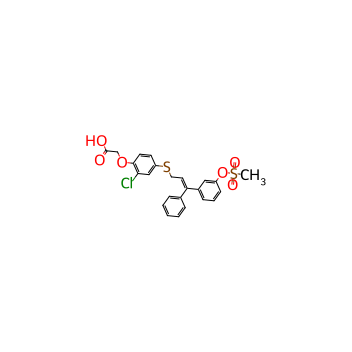 CS(=O)(=O)Oc1cccc(C(=CCSc2ccc(OCC(=O)O)c(Cl)c2)c2ccccc2)c1